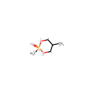 C[C]1COP(C)(=O)OC1